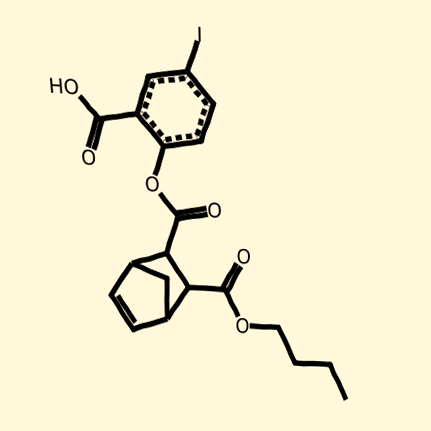 CCCCOC(=O)C1C2C=CC(C2)C1C(=O)Oc1ccc(I)cc1C(=O)O